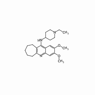 CCN1CCC(Nc2c3c(nc4cc(OC)c(OC)cc24)CCCCC3)CC1